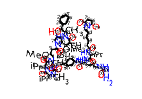 CC[C@H](C)[C@@H]([C@@H](CC(=O)N1CCC[C@H]1C(OC)[C@@H](C)C(=O)N[C@H](C)[C@@H](O)c1ccccc1)OC)N(C)C(=O)[C@@H](NC(=O)[C@H](C(C)C)N(C)C(=O)OCc1ccc(NC(=O)[C@H](CCCNC(N)=O)NC(=O)[C@@H](NC(=O)CCCCCN2C(=O)C=CC2=O)C(C)C)cc1)C(C)C